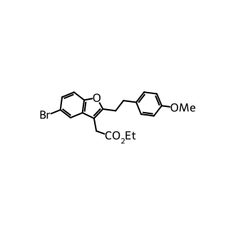 CCOC(=O)Cc1c(CCc2ccc(OC)cc2)oc2ccc(Br)cc12